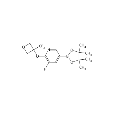 CC1(C)OB(c2cnc(OC3(C(F)(F)F)COC3)c(F)c2)OC1(C)C